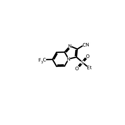 CCS(=O)(=O)c1c(C#N)nc2cc(C(F)(F)F)ccn12